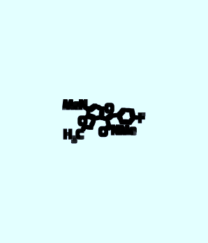 CNC(=O)c1c(-c2ccc(F)cc2)oc2cc(NC)c3c(c12)CC(C)O3